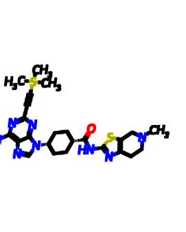 CN1CCc2nc(NC(=O)[C@H]3CC[C@@H](n4cnc5c(N)nc(C#CS(C)(C)C)nc54)CC3)sc2C1